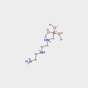 CO[Si](CNCCNCCN)(OC)OC